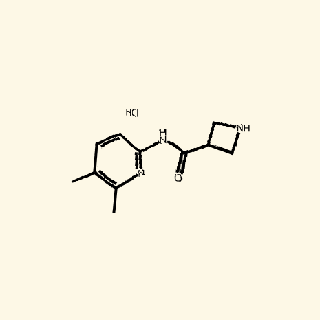 Cc1ccc(NC(=O)C2CNC2)nc1C.Cl